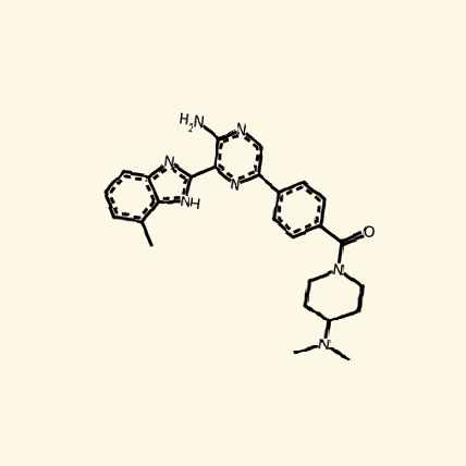 Cc1cccc2nc(-c3nc(-c4ccc(C(=O)N5CCC(N(C)C)CC5)cc4)cnc3N)[nH]c12